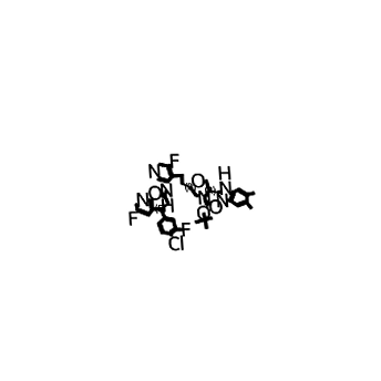 Cc1cc2nc([C@@H]3CO[C@H](CCc4c(F)cncc4NC(=O)C[C@H](c4cncc(F)c4)c4ccc(Cl)c(F)c4)CN3C(=O)OC(C)(C)C)[nH]c2cc1C